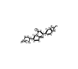 Cc1nc2ccc(-c3cc(=O)n4cc(C5CCN(C)CC5)ccc4n3)cc2s1